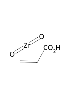 C=CC(=O)O.[O]=[Zr]=[O]